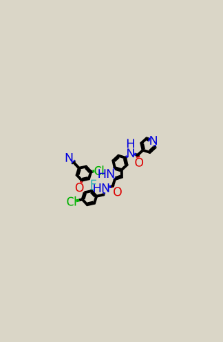 N#Cc1cc(Cl)cc(Oc2c(Cl)ccc(CNC(=O)c3cc4cc(NC(=O)c5ccncc5)ccc4[nH]3)c2F)c1